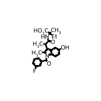 CCC(C)(NC(=O)[C@H](C)c1c(C)n(C(=O)c2cccc(F)c2)c2ccc(O)cc12)C(=O)O